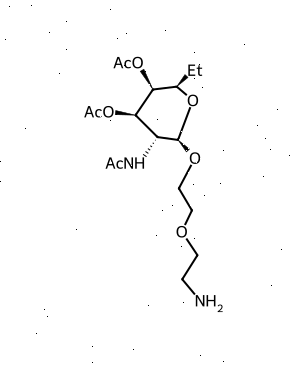 CC[C@H]1O[C@@H](OCCOCCN)[C@H](NC(C)=O)[C@@H](OC(C)=O)[C@H]1OC(C)=O